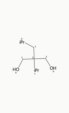 CC(C)CC(CO)(CO)C(C)C